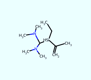 C=C(C)[SiH](CC)C(N(C)C)N(C)C